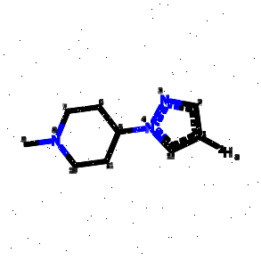 [2H]c1cnn(C2CCN(C)CC2)c1